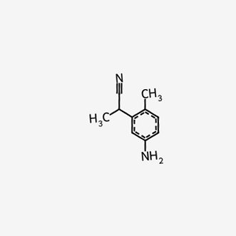 Cc1ccc(N)cc1C(C)C#N